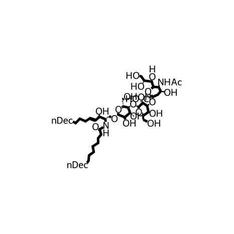 CCCCCCCCCCCCC/C=C/[C@@H](O)[C@H](CO[C@@H]1O[C@H](CO)[C@@H](O[C@@H]2O[C@H](CO)[C@H](O)[C@H](O[C@]3(C(=O)O)C[C@H](O)[C@@H](NC(C)=O)C([C@H](O)[C@H](O)CO)O3)[C@H]2O)[C@H](O)C1O)NC(=O)CCCCCCCCCCCCCCCCC